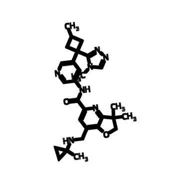 CC1CC(c2cncc(NC(=O)c3cc(CNC4(C)CC4)c4c(n3)C(C)(C)CO4)c2)(c2nncn2C)C1